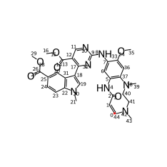 C=CC(=O)Nc1cc(Nc2ncc(C(=O)OC)c(-c3cn(C)c4ccc(C(=O)OC)cc34)n2)c(OC)cc1N(C)CCN(C)C